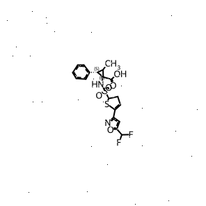 CC1[C@@H](c2ccccc2)[C@@]1(NS(=O)(=O)C1CC=C(c2cc(C(F)F)on2)S1)C(=O)O